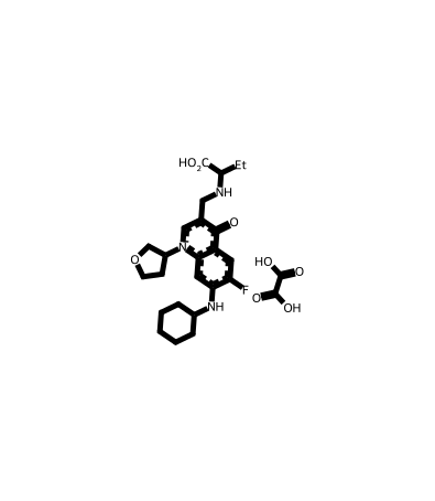 CCC(NCc1cn(C2CCOC2)c2cc(NC3CCCCC3)c(F)cc2c1=O)C(=O)O.O=C(O)C(=O)O